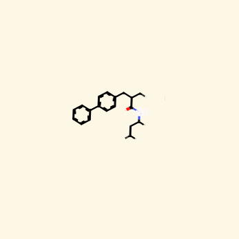 CC(CC(C)C(=O)O)NC(=O)C(CC(=O)O)Cc1ccc(-c2ccccc2)cc1